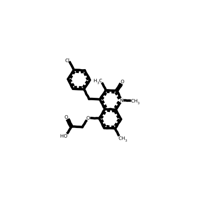 Cc1cc(OCC(=O)O)c2c(Cc3ccc(Cl)cc3)c(C)c(=O)n(C)c2c1